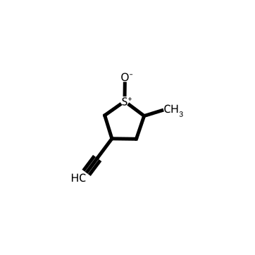 C#CC1CC(C)[S+]([O-])C1